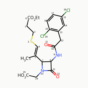 CCOC(=O)CCSC=C(C)C1C(NC(=O)Cc2cc(Cl)ccc2Cl)C(=O)N1CC(=O)O